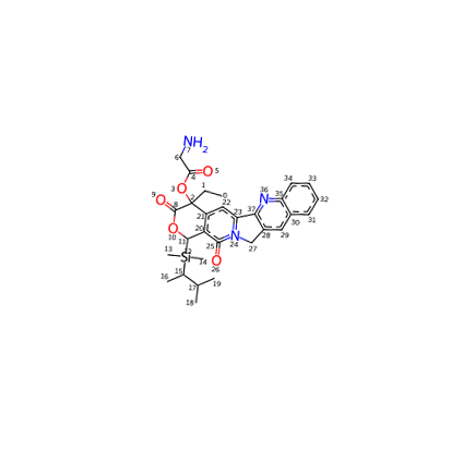 CCC1(OC(=O)CN)C(=O)OC([Si](C)(C)C(C)C(C)C)c2c1cc1n(c2=O)Cc2cc3ccccc3nc2-1